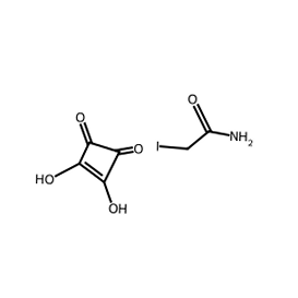 NC(=O)CI.O=c1c(O)c(O)c1=O